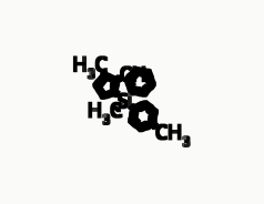 CC1=CCC([Si](C)(c2ccccc2)c2ccc(C)cc2)=C1C